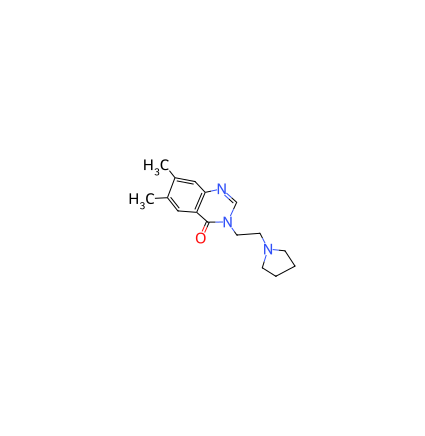 Cc1cc2ncn(CCN3CCCC3)c(=O)c2cc1C